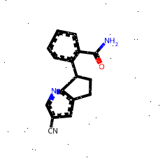 N#Cc1cnc2c(c1)CCC2c1ccccc1C(N)=O